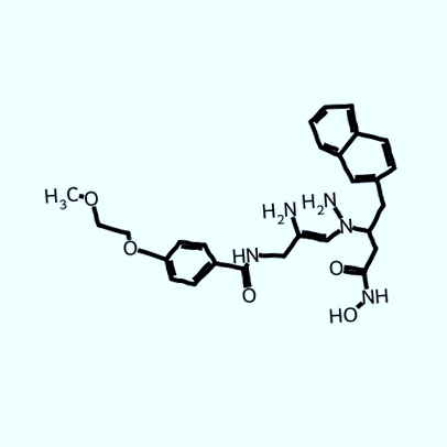 COCCOc1ccc(C(=O)NC/C(N)=C/N(N)C(CC(=O)NO)Cc2ccc3ccccc3c2)cc1